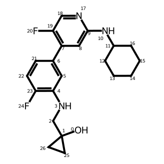 OC1(CNc2cc(-c3cc(NC4CCCCC4)ncc3F)ccc2F)CC1